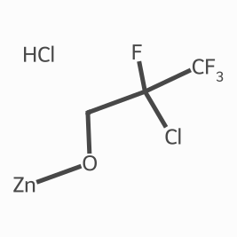 Cl.FC(F)(F)C(F)(Cl)C[O][Zn]